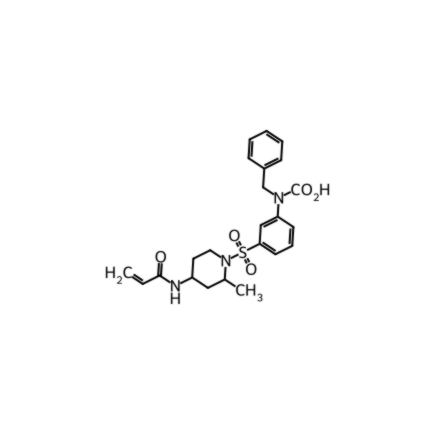 C=CC(=O)NC1CCN(S(=O)(=O)c2cccc(N(Cc3ccccc3)C(=O)O)c2)C(C)C1